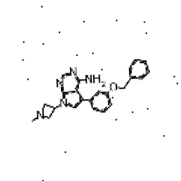 CN1CC(n2cc(-c3cccc(OCc4ccccc4)c3)c3c(N)ncnc32)C1